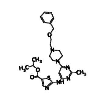 Cc1nc(Nc2ncc(C(=O)OC(C)C)s2)cc(N2CCN(CCOCc3ccccc3)CC2)n1